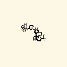 CS(=O)(=O)NCC1CCCN(c2cc(-c3cnc4ccc(C(F)F)nn34)c(Cl)cn2)C1